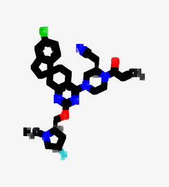 C=CC(=O)N1CCN(c2nc(OC[C@@H]3C[C@@H](F)CN3C)nc3c2CCC2(CCc4cc(Cl)ccc42)C3)C[C@@H]1CC#N